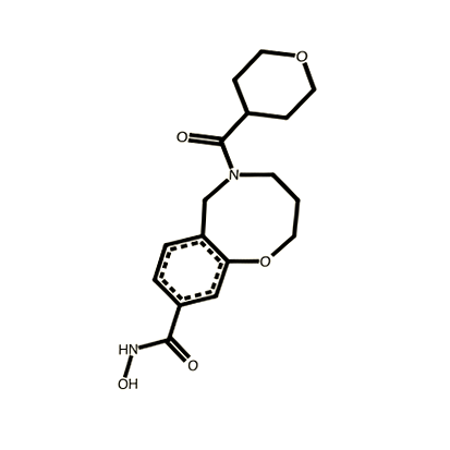 O=C(NO)c1ccc2c(c1)OCCCN(C(=O)C1CCOCC1)C2